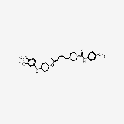 C/C(=C\C=C/CN1CCN(C(=S)Nc2ccc(C(F)(F)F)cc2)CC1)O[C@H]1CC[C@H](Nc2ccc([N+](=O)[O-])c(C(F)(F)F)c2)CC1